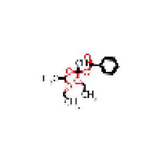 CCOC(C)OC(C)(OCC)OC(=O)c1ccccc1